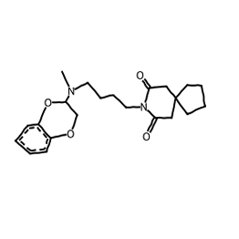 CN(CCCCN1C(=O)CC2(CCCC2)CC1=O)C1COc2ccccc2O1